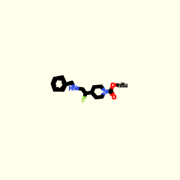 CCCCOC(=O)N1CCC(C(F)CNCc2ccccc2)CC1